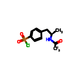 C[C@H](Cc1ccc(S(=O)(=O)Cl)cc1)NC(=O)C(F)(F)F